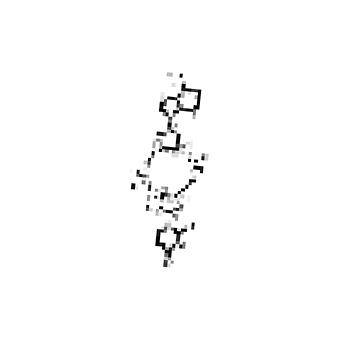 Nc1ncnc2c1ncn2[C@H]1C[C@@H]2OP(=O)(O)OC[C@H]3O[C@@H](n4ccc(=O)[nH]c4=O)[C@H](F)[C@@H]3OP(=O)(O)OC[C@H]2O1